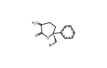 C=C1CC[C@](CBr)(c2ccccc2)OC1=O